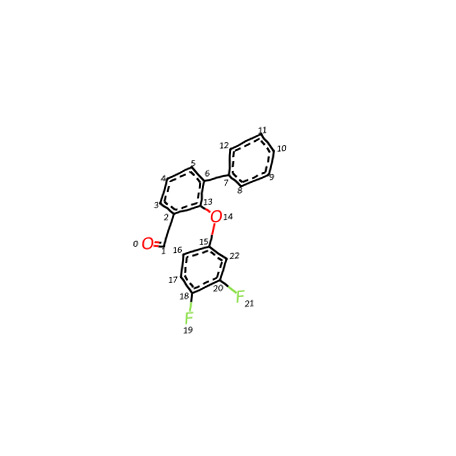 O=Cc1cccc(-c2ccccc2)c1Oc1ccc(F)c(F)c1